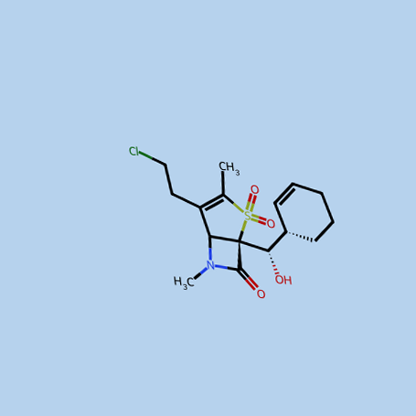 CC1=C(CCCl)C2N(C)C(=O)[C@]2([C@@H](O)[C@@H]2C=CCCC2)S1(=O)=O